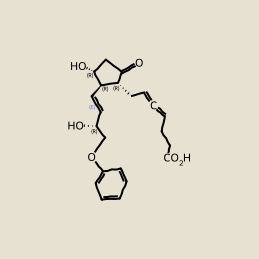 O=C(O)CCC=C=CC[C@H]1C(=O)C[C@@H](O)[C@@H]1/C=C/[C@@H](O)COc1ccccc1